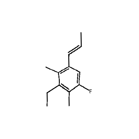 C/C=C/c1cc(F)c(C)c(CC)c1C